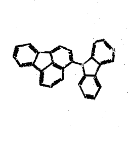 c1ccc2c(c1)-c1cccc3c(-n4c5ccccc5c5cnccc54)ccc-2c13